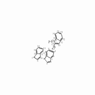 C1=Cc2ccccc2C1.C1=Cc2ccccc2C1.[Zr][c]1cc2ccccc2[nH]1